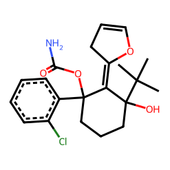 CC(C)(C)C1(O)CCCC(OC(N)=O)(c2ccccc2Cl)C1=C1CC=CO1